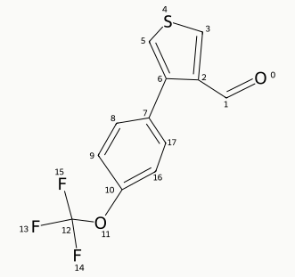 O=Cc1cscc1-c1ccc(OC(F)(F)F)cc1